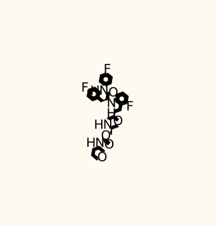 O=C(N[C@H]1CCCOC1)OC[C@@H]1CO[C@H](CCc2c(F)cccc2N[C@@H](Cc2ccc(F)cc2)C(=O)Nc2ccc(F)cc2)CN1